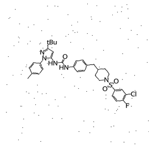 Cc1ccc(-n2nc(C(C)(C)C)cc2NC(=O)Nc2ccc(CC3CCN(S(=O)(=O)c4ccc(F)c(Cl)c4)CC3)cc2)cc1